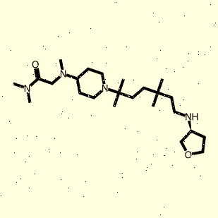 CN(C)C(=O)CN(C)C1CCN(C(C)(C)CCC(C)(C)CCN[C@H]2CCOC2)CC1